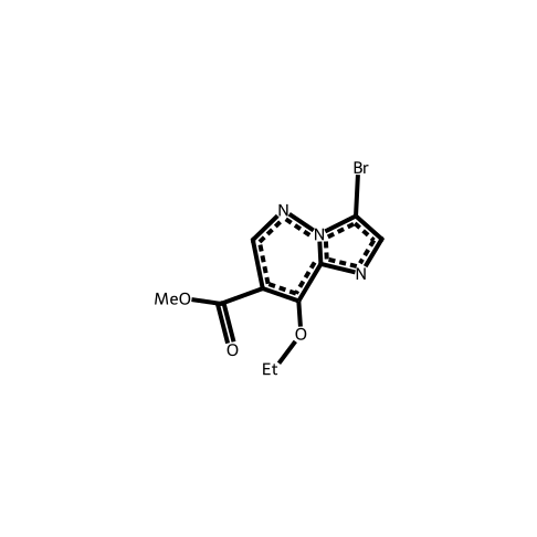 CCOc1c(C(=O)OC)cnn2c(Br)cnc12